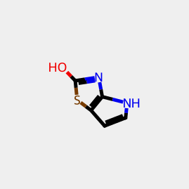 Oc1nc2[nH]ccc2s1